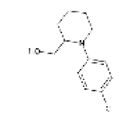 OCC1CCCCN1c1ccc(Cl)cc1